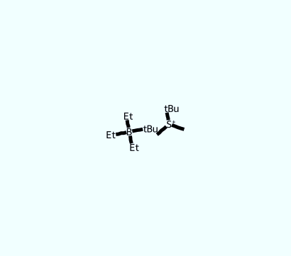 CC[B-](CC)(CC)C(C)(C)C.C[S+](C)C(C)(C)C